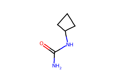 NC(=O)NC1CCC1